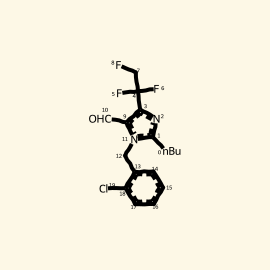 CCCCc1nc(C(F)(F)CF)c(C=O)n1Cc1ccccc1Cl